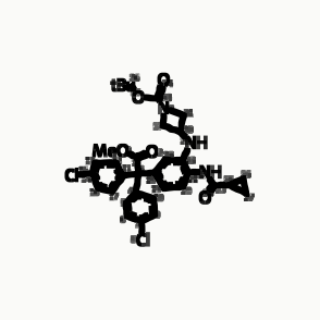 COC(=O)C(c1ccc(Cl)cc1)(c1ccc(Cl)cc1)c1ccc(NC(=O)C2CC2)c(NC2CN(C(=O)OC(C)(C)C)C2)c1